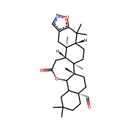 CC1(C)CC[C@]2(C=O)CC[C@]3(C)C(OC(=O)C[C@@H]4[C@@]5(C)Cc6cnoc6C(C)(C)[C@@H]5CC[C@]43C)C2C1